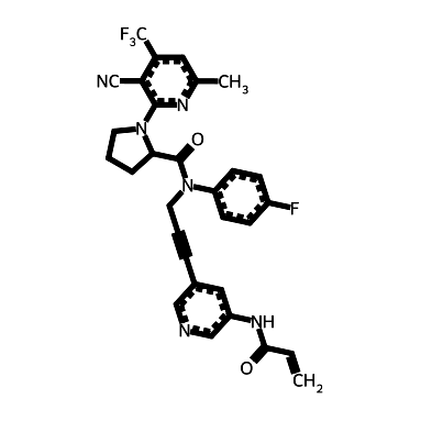 C=CC(=O)Nc1cncc(C#CCN(C(=O)C2CCCN2c2nc(C)cc(C(F)(F)F)c2C#N)c2ccc(F)cc2)c1